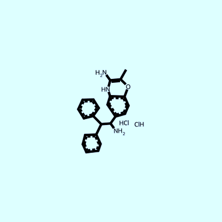 CC1=C(N)Nc2cc(C(N)C(c3ccccc3)c3ccccc3)ccc2O1.Cl.Cl